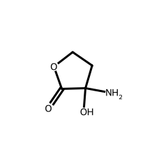 NC1(O)CCOC1=O